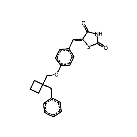 O=C1NC(=O)C(=Cc2ccc(OCC3(Cc4ccccc4)CCC3)cc2)S1